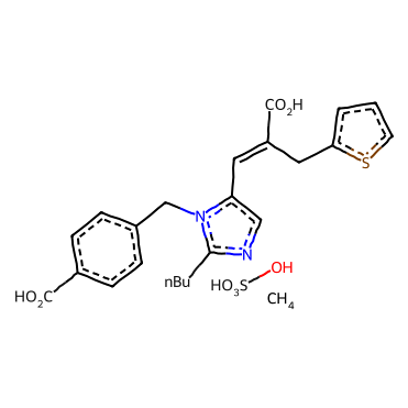 C.CCCCc1ncc(C=C(Cc2cccs2)C(=O)O)n1Cc1ccc(C(=O)O)cc1.O=S(=O)(O)O